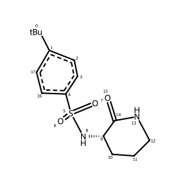 CC(C)(C)c1ccc(S(=O)(=O)N[C@H]2CCCNC2=O)cc1